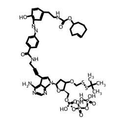 CC(C)(C)SSCOC1C[C@H](n2cc(C#CCNC(=O)c3ccc(/N=N/c4cc(CCNC(=O)OC5CC/C=C/CCC5)ccc4O)cc3)c3c(N)ncnc32)O[C@@H]1COP(=O)(O)OP(=O)(O)OP(=O)(O)O